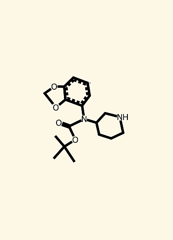 CC(C)(C)OC(=O)N(c1c[c]cc2c1OCO2)C1CCCNC1